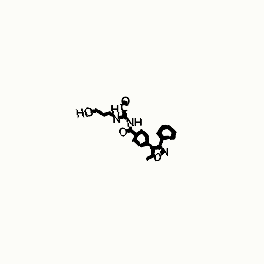 Cc1onc(-c2ccccc2)c1-c1ccc(C(=O)NC(=C=O)NCCCO)cc1